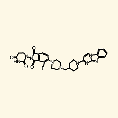 O=C1CCN(N2C(=O)c3ccc(N4CCN(CC5CCN(c6ccn7c(n6)nc6ccccc67)CC5)CC4)c(F)c3C2=O)C(=O)N1